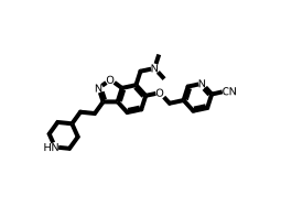 CN(C)Cc1c(OCc2ccc(C#N)nc2)ccc2c(CCC3CCNCC3)noc12